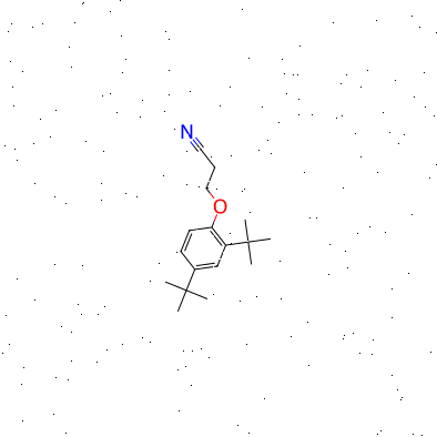 CC(C)(C)c1ccc(OCCC#N)c(C(C)(C)C)c1